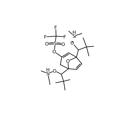 C[SiH](C)OC(C(C)(C)C)C12C=CC(C(O[SiH](C)C)C(C)(C)C)(CC(OS(=O)(=O)C(F)(F)F)=C1)O2